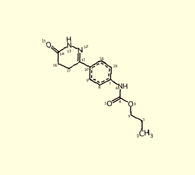 CCCOC(=O)Nc1ccc(C2=NNC(=O)CC2)cc1